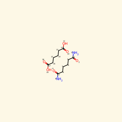 NC(=O)CCCCC(N)=O.O=C(O)CCCCC(=O)O